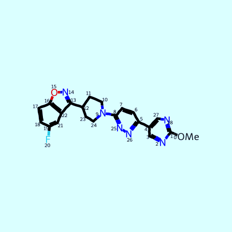 COc1ncc(-c2ccc(N3CCC(c4noc5ccc(F)cc45)CC3)nn2)cn1